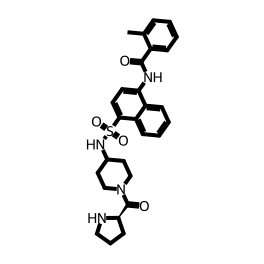 Cc1ccccc1C(=O)Nc1ccc(S(=O)(=O)NC2CCN(C(=O)[C@H]3CCCN3)CC2)c2ccccc12